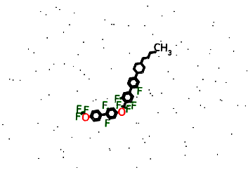 CCCCCC1CCC(c2ccc(-c3cc(F)c(C(F)(F)Oc4cc(F)c(-c5ccc(OC(F)(F)F)cc5)c(F)c4)c(F)c3)c(F)c2)CC1